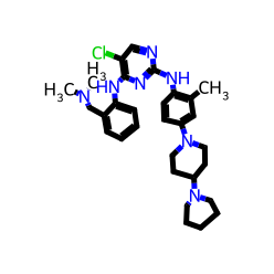 Cc1cc(N2CCC(N3CCCCC3)CC2)ccc1Nc1ncc(Cl)c(Nc2ccccc2CN(C)C)n1